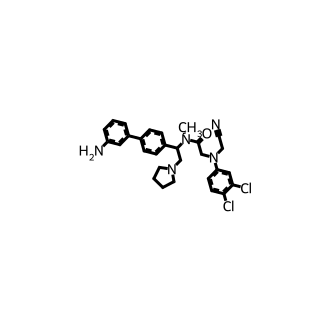 CN(C(=O)CN(CC#N)c1ccc(Cl)c(Cl)c1)C(CN1CCCC1)c1ccc(-c2cccc(N)c2)cc1